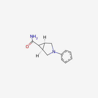 NC(=O)C1[C@H]2CN(c3ccccc3)C[C@@H]12